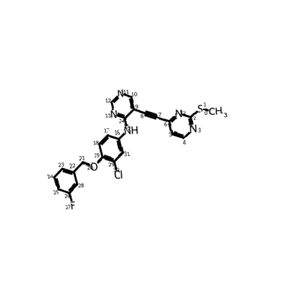 CSc1nccc(C#Cc2cncnc2Nc2ccc(OCc3cccc(F)c3)c(Cl)c2)n1